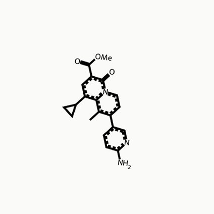 COC(=O)c1cc(C2CC2)c2c(C)c(-c3ccc(N)nc3)ccn2c1=O